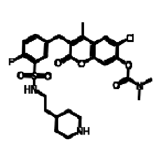 Cc1c(Cc2ccc(F)c(S(=O)(=O)NCCC3CCNCC3)c2)c(=O)oc2cc(OC(=O)N(C)C)c(Cl)cc12